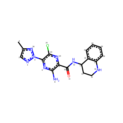 Cc1cnn(-c2nc(N)c(C(=O)NC3CCNc4ccccc43)nc2Cl)n1